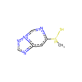 C[SH](S)c1cc2ncnn2cn1